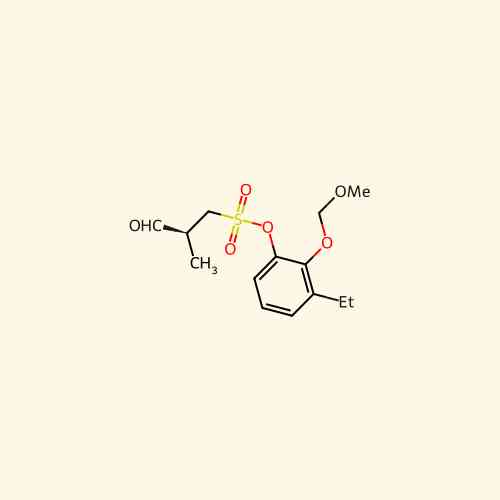 CCc1cccc(OS(=O)(=O)C[C@@H](C)C=O)c1OCOC